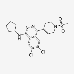 CS(=O)(=O)N1CC=C(c2nnc(NC3CCCC3)c3cc(Cl)c(Cl)cc23)CC1